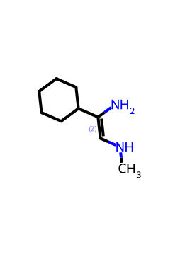 CN/C=C(\N)C1CCCCC1